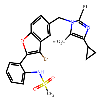 CCOC(=O)c1c(C2CC2)nc(CC)n1Cc1ccc2oc(-c3ccccc3NS(=O)(=O)C(F)(F)F)c(Br)c2c1